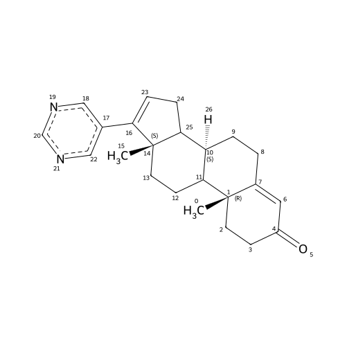 C[C@]12CCC(=O)C=C1CC[C@H]1C2CC[C@]2(C)C(c3cncnc3)=CCC12